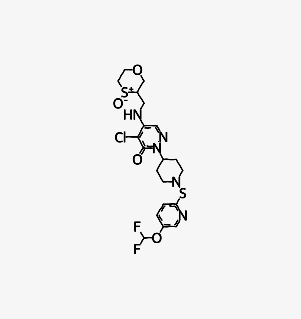 O=c1c(Cl)c(NCC2COCC[S+]2[O-])cnn1C1CCN(Sc2ccc(OC(F)F)cn2)CC1